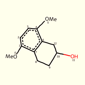 COc1ccc(OC)c2c1CCC(O)C2